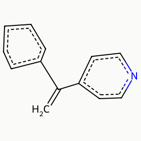 C=C(c1ccccc1)c1ccncc1